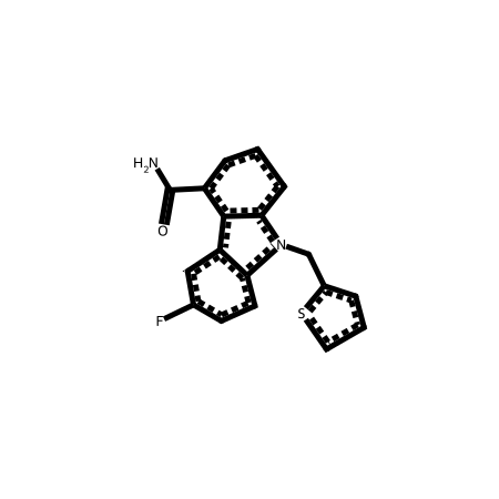 NC(=O)c1cccc2c1c1[c]c(F)ccc1n2Cc1cccs1